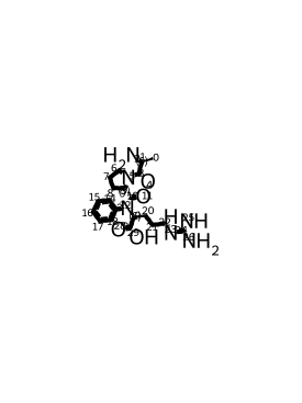 C[C@H](N)C(=O)N1CCC[C@H]1C(=O)N(c1ccccc1)[C@@H](CCCNC(=N)N)C(=O)O